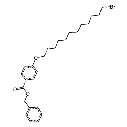 O=C(OCc1ccccc1)c1ccc(OCCCCCCCCCCCCBr)cc1